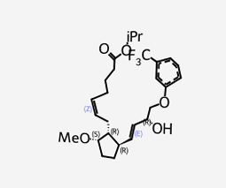 CO[C@H]1CC[C@H](/C=C/[C@@H](O)COc2cccc(C(F)(F)F)c2)[C@H]1C/C=C\CCCC(=O)OC(C)C